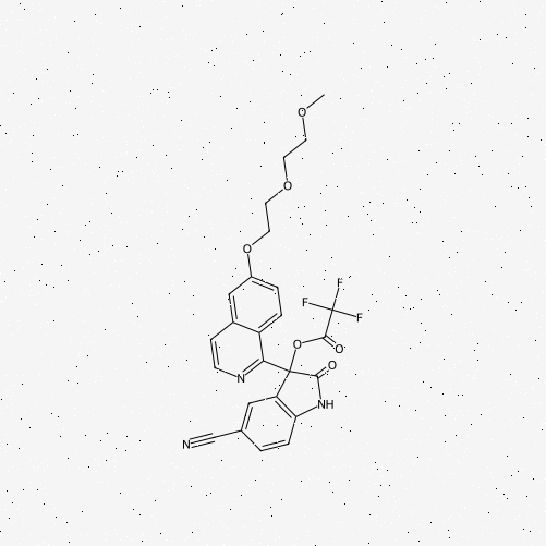 COCCOCCOc1ccc2c(C3(OC(=O)C(F)(F)F)C(=O)Nc4ccc(C#N)cc43)nccc2c1